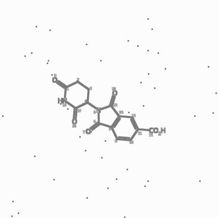 O=C1CCC(N2C(=O)c3ccc(C(=O)O)cc3C2=O)C(=O)N1